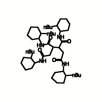 CCCCC1CCCCC1NC(=O)CC(C(=O)NC1CCCCC1CCCC)C(CC(=O)NC1CCCCC1CCCC)C(=O)NC1CCCCC1CCCC